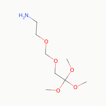 COC(COCOCCN)(OC)OC